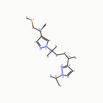 CSC[C@@H](C)c1cnn(C(C)(C)CCC(C)c2ccn(C(C)C)n2)c1